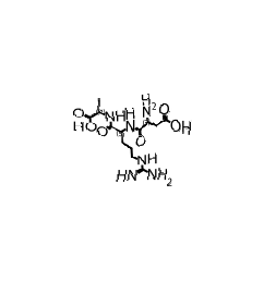 C[C@@H](NC(=O)[C@H](CCCNC(=N)N)NC(=O)[C@@H](N)CC(=O)O)C(=O)O